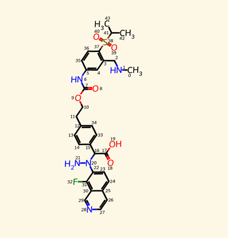 CNCc1cc(NC(=O)OCCc2ccc(C(C(=O)O)N(N)c3ccc4ccncc4c3F)cc2)ccc1S(=O)(=O)C(C)C